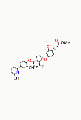 COC(=O)C[C@@H]1COc2cc(O[C@@H]3CCc4c(Oc5ccc(-c6cccc(C)n6)cc5C#N)ccc(F)c43)ccc21